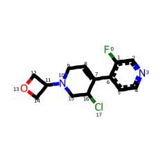 Fc1cnccc1C1=CCN(C2COC2)CC1Cl